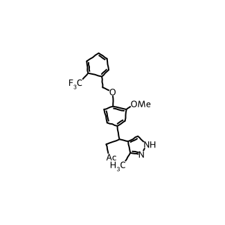 COc1cc(C(CC(C)=O)c2c[nH]nc2C)ccc1OCc1ccccc1C(F)(F)F